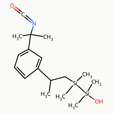 CC(C[Si](C)(C)[Si](C)(C)O)c1cccc(C(C)(C)N=C=O)c1